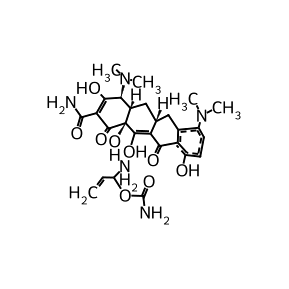 C=CC(N)OC(N)=O.CN(C)c1ccc(O)c2c1C[C@H]1C[C@H]3[C@H](N(C)C)C(O)=C(C(N)=O)C(=O)[C@@]3(O)C(O)=C1C2=O